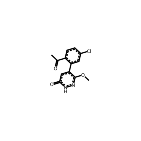 COc1n[nH]c(=O)cc1-c1cc(Cl)ccc1C(C)=O